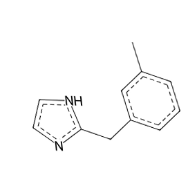 Cc1cccc(Cc2ncc[nH]2)c1